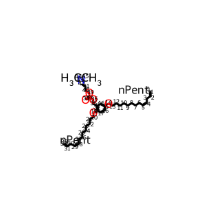 CCCCC/C=C\C/C=C\CCCCCCCCOc1ccc(OCCCCCCCC/C=C\C/C=C\CCCCC)c(COC(=O)OCCCN(C)C)c1